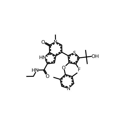 CCNC(=O)c1cc2c(-c3sc(C(C)(C)O)c(F)c3Oc3c(C)cncc3C)cn(C)c(=O)c2[nH]1